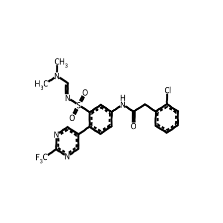 CN(C)/C=N/S(=O)(=O)c1cc(NC(=O)Cc2ccccc2Cl)ccc1-c1cnc(C(F)(F)F)nc1